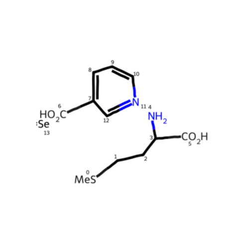 CSCCC(N)C(=O)O.O=C(O)c1cccnc1.[Se]